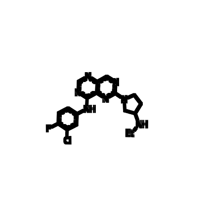 CCNC1CCN(c2ncc3ncnc(Nc4ccc(F)c(Cl)c4)c3n2)C1